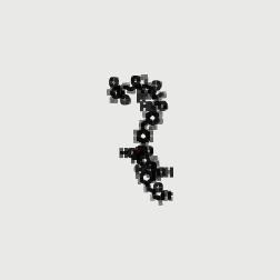 CC/C=C\C(=O)/C=C1/CC[C@@H]2[C@@H](C1)[C@@H](O)C[C@@]1(C)[C@H]2C[C@H]2O[C@@H](c3ccc(Cc4cccc(NC(=O)[C@H](C)NC(=O)[C@H](C)NC(=O)CCN5C(=O)C=CC5=O)c4)cc3)O[C@]21C(=O)CO